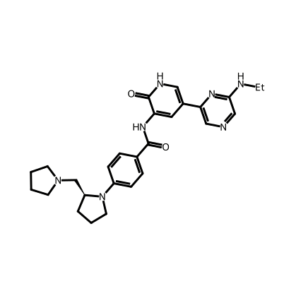 CCNc1cncc(-c2c[nH]c(=O)c(NC(=O)c3ccc(N4CCC[C@H]4CN4CCCC4)cc3)c2)n1